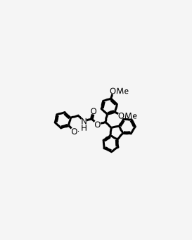 COc1ccc(C(OC(=O)NCc2ccccc2[O])C2c3ccccc3-c3ccccc32)c(OC)c1